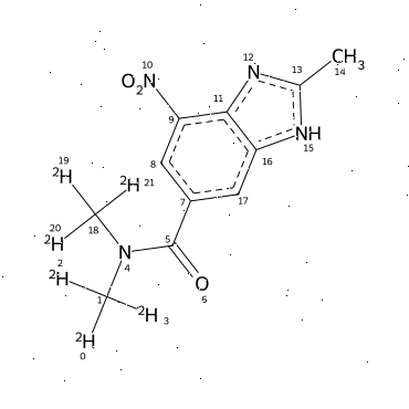 [2H]C([2H])([2H])N(C(=O)c1cc([N+](=O)[O-])c2nc(C)[nH]c2c1)C([2H])([2H])[2H]